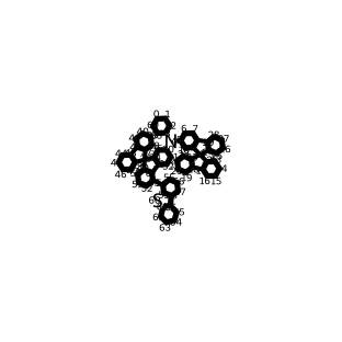 c1ccc(N(c2ccc3c(c2)C2(c4ccccc4-c4ccccc42)c2ccccc2-3)c2ccc3c(c2)C2(c4ccccc4-c4ccccc42)c2cccc(-c4cccc5c4sc4ccccc45)c2-3)cc1